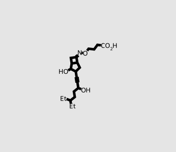 CCC(CC)CCC(O)C#CC1CC2C(=NOCCCC(=O)O)CC2C1O